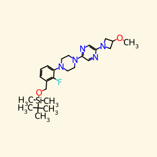 COC1CN(c2cnc(N3CCN(c4cccc(CO[Si](C)(C)C(C)(C)C)c4F)CC3)cn2)C1